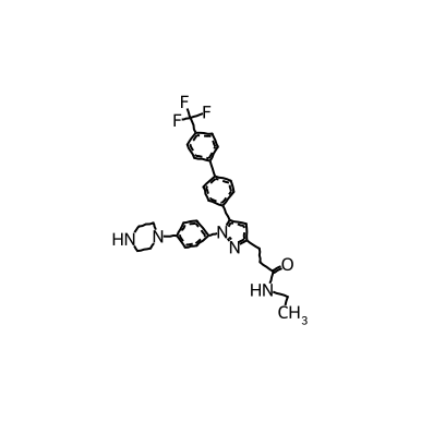 CCNC(=O)CCc1cc(-c2ccc(-c3ccc(C(F)(F)F)cc3)cc2)n(-c2ccc(N3CCNCC3)cc2)n1